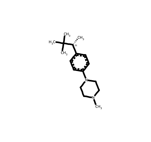 C[C@H](c1ccc(N2CCN(C)CC2)cc1)C(C)(C)C